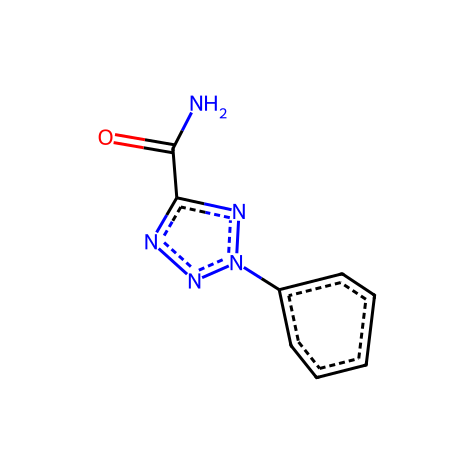 NC(=O)c1nnn(-c2ccccc2)n1